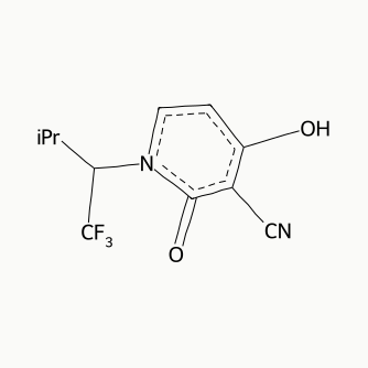 CC(C)C(n1ccc(O)c(C#N)c1=O)C(F)(F)F